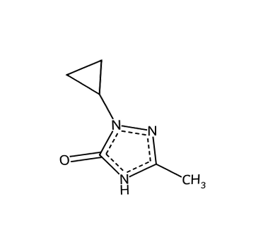 Cc1nn(C2CC2)c(=O)[nH]1